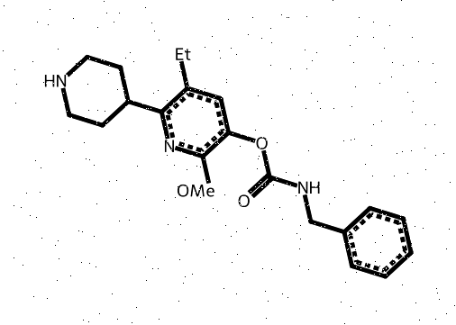 CCc1cc(OC(=O)NCc2ccccc2)c(OC)nc1C1CCNCC1